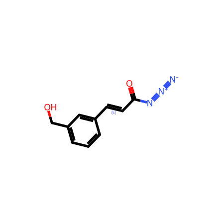 [N-]=[N+]=NC(=O)/C=C/c1cccc(CO)c1